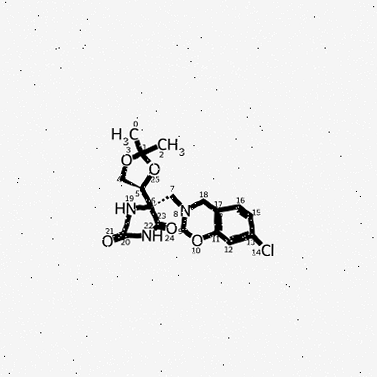 CC1(C)OC[C@H]([C@]2(CN3COc4cc(Cl)ccc4C3)NC(=O)NC2=O)O1